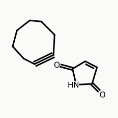 C1#CCCCCCC1.O=C1C=CC(=O)N1